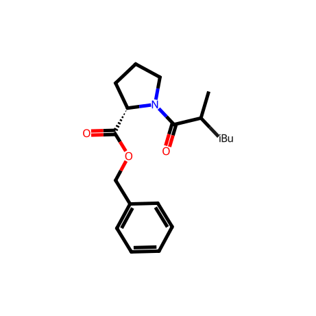 CCC(C)C(C)C(=O)N1CCC[C@H]1C(=O)OCc1ccccc1